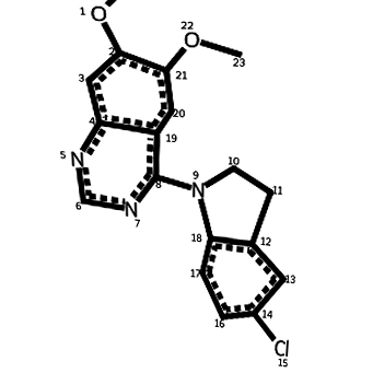 COc1cc2ncnc(N3CCc4cc(Cl)ccc43)c2cc1OC